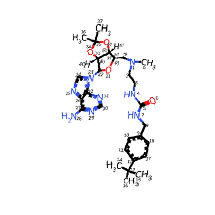 CN(CCNC(=O)NCc1ccc(C(C)(C)C)cc1)C[C@H]1OC(n2cnc3c(N)ncnc32)[C@@H]2OC(C)(C)O[C@H]12